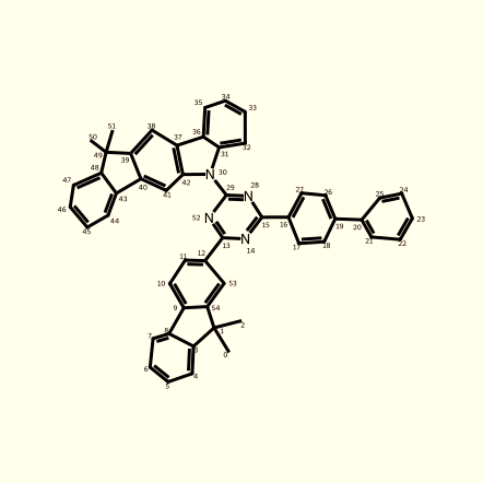 CC1(C)c2ccccc2-c2ccc(-c3nc(-c4ccc(-c5ccccc5)cc4)nc(-n4c5ccccc5c5cc6c(cc54)-c4ccccc4C6(C)C)n3)cc21